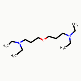 CCN(CC)CCCOCCCN(CC)CC